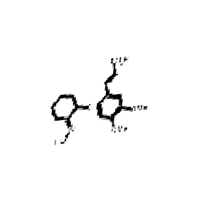 COc1ccc(C=CC(=O)O)cc1OC.ON=C1CCCCC1Cl